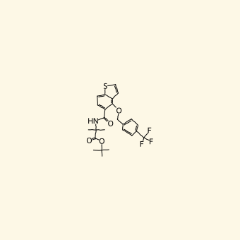 CC(C)(C)OC(=O)C(C)(C)NC(=O)c1ccc2sccc2c1OCc1ccc(C(F)(F)F)cc1